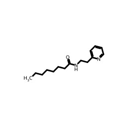 CCCCCCCC(=O)NCCc1ccccn1